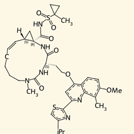 COc1ccc2c(OCC[C@@H]3NC(=O)N(C)CCCCC=C[C@@H]4C[C@@]4(C(=O)NS(=O)(=O)C4(C)CC4)NC3=O)cc(-c3nc(C(C)C)cs3)nc2c1C